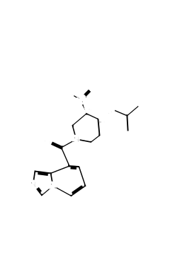 CC(C)C[C@@H]1CCN(C(=O)c2cccn3cncc23)C[C@H]1[N+](=O)[O-]